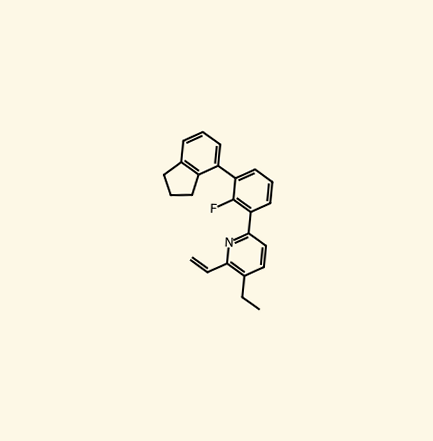 C=Cc1nc(-c2cccc(-c3cccc4c3CCC4)c2F)ccc1CC